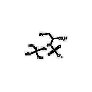 CC(C)C[C@H](NS(=O)(=O)C(F)(F)F)C(=O)O.CCCC[PH](CCCC)(CCCC)CCCC